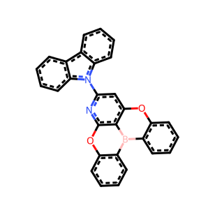 c1ccc2c(c1)Oc1cc(-n3c4ccccc4c4ccccc43)nc3c1B2c1ccccc1O3